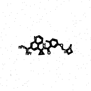 CCCN(CCC)c1cc(C2(NC(=O)c3cc(OC[C@@H]4CCN4C)ccc3C)CC2)c2cccnc2c1